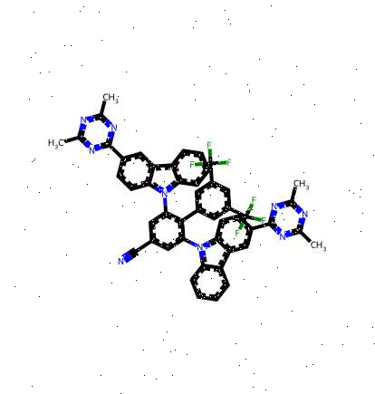 Cc1nc(C)nc(-c2ccc3c(c2)c2ccccc2n3-c2cc(C#N)cc(-n3c4ccccc4c4cc(-c5nc(C)nc(C)n5)ccc43)c2-c2cc(C(F)(F)F)cc(C(F)(F)F)c2)n1